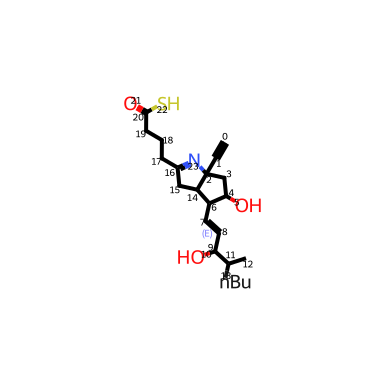 C#CC12CC(O)C(/C=C/C(O)C(C)CCCC)C1CC(CCCC(=O)S)=N2